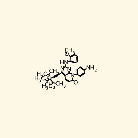 COc1ccccc1Nc1nc(C#C[Si](C(C)C)(C(C)C)C(C)C)c2ccc(=O)n(-c3ccc(N)cc3)c2n1